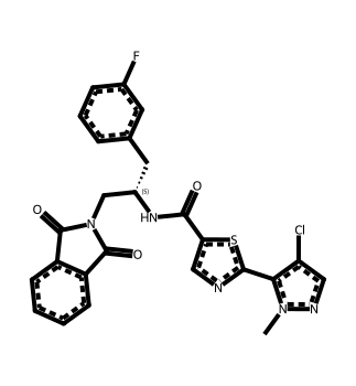 Cn1ncc(Cl)c1-c1ncc(C(=O)N[C@@H](Cc2cccc(F)c2)CN2C(=O)c3ccccc3C2=O)s1